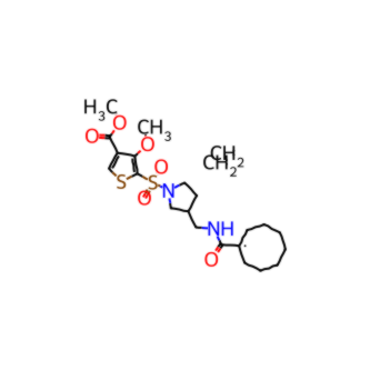 COC(=O)c1csc(S(=O)(=O)N2CCC(CNC(=O)[C]3CCCCCCC3)C2)c1OC.[CH2].[CH2]